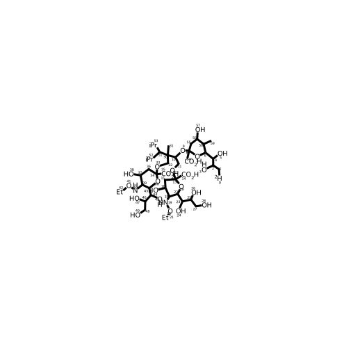 [2H]CC(O)C(O)C1OC(OC(COC2(C(=O)O)CC(O)C(NOCC)C(C(O)C(O)CO)O2)C(C)(COC2(C(=O)O)CC(O)C(NOCC)C(C(O)C(O)CO)O2)C(C(C)C)C(C)C)(C(=O)O)CC(O)C1C